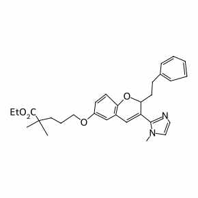 CCOC(=O)C(C)(C)CCCOc1ccc2c(c1)C=C(c1nccn1C)C(CCc1ccccc1)O2